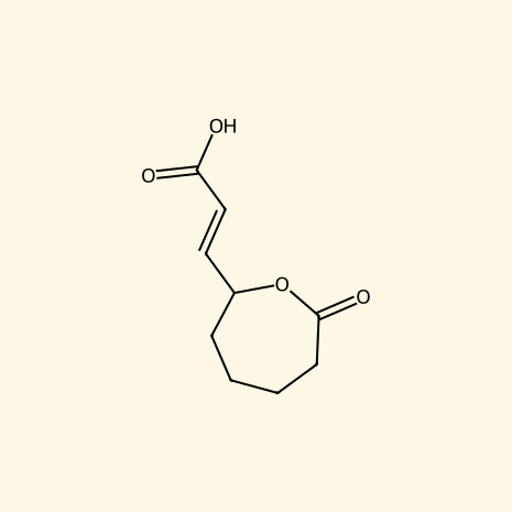 O=C(O)C=CC1CCCCC(=O)O1